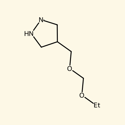 CCOCOCC1C[N]NC1